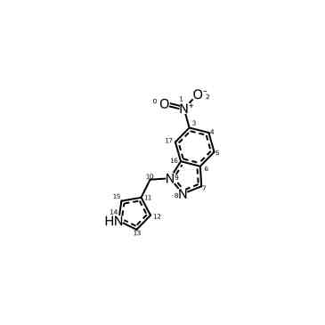 O=[N+]([O-])c1ccc2cnn(Cc3cc[nH]c3)c2c1